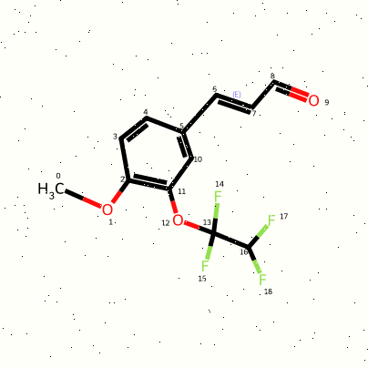 COc1ccc(/C=C/C=O)cc1OC(F)(F)C(F)F